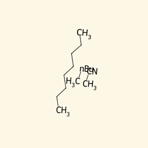 CC#N.CCCCC.CCCCCCCC